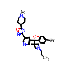 CC(=O)N1CCC(c2nc(-c3cncc([C@@](O)(c4ccc(C(C)C)cc4)C4(C)CN(CCC(F)(F)F)C4)c3)no2)CC1